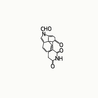 O=CN1C=C2C=CC=CC23C1=CCC(=O)C3C1CCC(=O)NC1=O